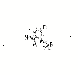 ONc1ccc(F)cc1OCC(F)(F)F